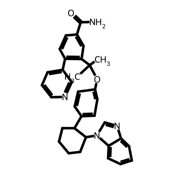 CC(C)(Oc1ccc(C2CCCCC2n2cnc3ccccc32)cc1)c1cc(C(N)=O)ccc1-c1cccnc1